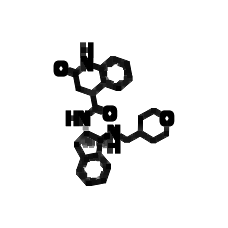 O=C1CC(C(=O)N[C@H]2Cc3ccccc3[C@@H]2NCC2CCOCC2)c2ccccc2N1